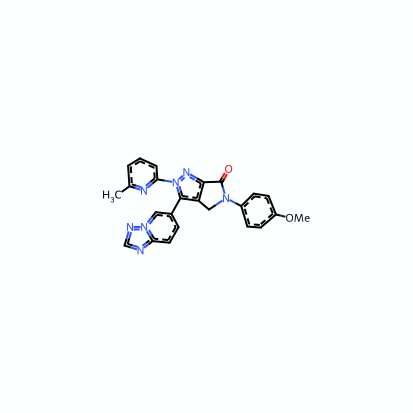 COc1ccc(N2Cc3c(nn(-c4cccc(C)n4)c3-c3ccc4ncnn4c3)C2=O)cc1